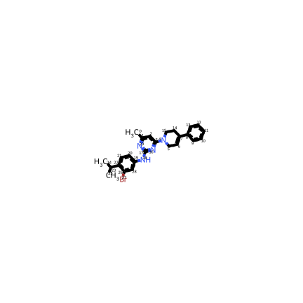 Cc1cc(N2CC=C(c3ccccc3)CC2)nc(Nc2ccc(C(C)C)c(Br)c2)n1